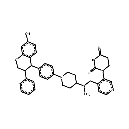 CN(Cc1ccncc1N1CCC(=O)NC1=O)C1CCN(c2ccc(C3c4ccc(O)cc4OCC3c3ccccc3)cc2)CC1